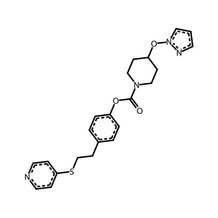 O=C(Oc1ccc(CCSc2ccncc2)cc1)N1CCC(On2cccn2)CC1